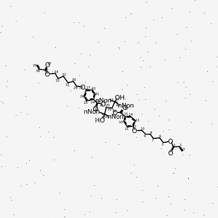 C=CC(=O)OCCCCCCOc1ccc(C(=O)O[C@H]([C@@H](OC(=O)c2ccc(OCCCCCCOC(=O)C=C)cc2)C(O)(CCCCCCCCC)CCCCCCCCC)C(O)(CCCCCCCCC)CCCCCCCCC)cc1